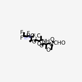 C=C(OCC(=O)C(CC(=O)O)NC(=O)C1COCCN(C(=O)C=O)C1)/C(F)=C(F)\C=C(\F)CF